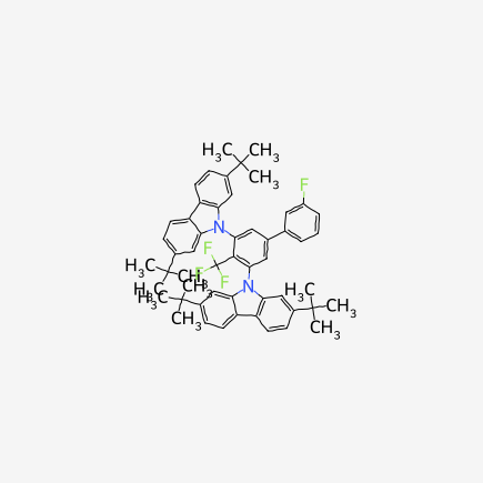 CC(C)(C)c1ccc2c3ccc(C(C)(C)C)cc3n(-c3cc(-c4cccc(F)c4)cc(-n4c5cc(C(C)(C)C)ccc5c5ccc(C(C)(C)C)cc54)c3C(F)(F)F)c2c1